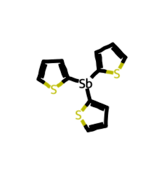 c1cs[c]([Sb]([c]2cccs2)[c]2cccs2)c1